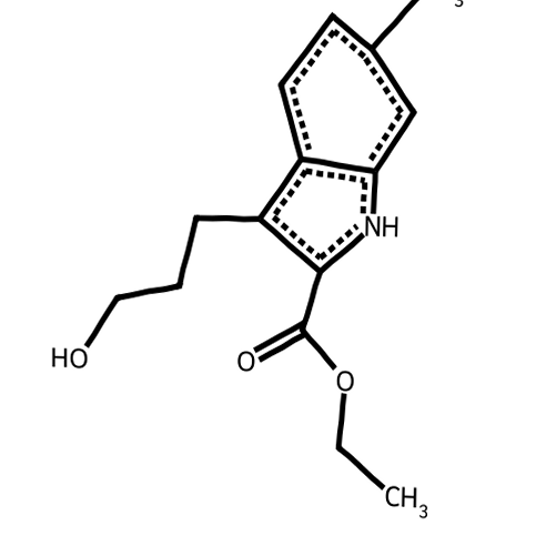 CCOC(=O)c1[nH]c2cc(C)ccc2c1CCCO